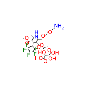 COC(=O)C1=C(C)NC(COCCOCCN)=C(C(=O)OC(C)C)[C@@H]1c1c(F)c(F)c(F)c(F)c1F.O=C(O)C(O)C(O)C(=O)O